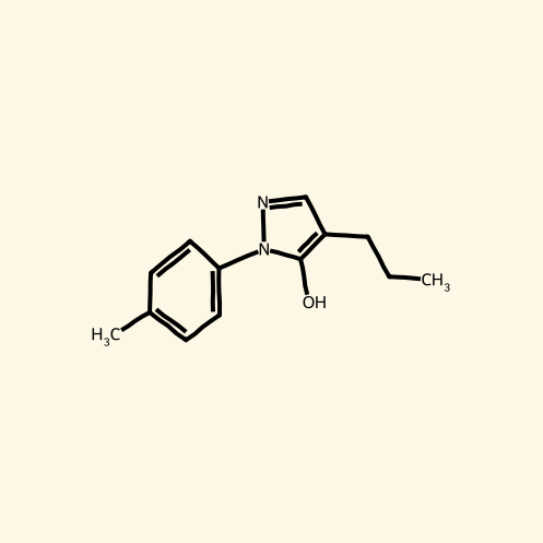 CCCc1cnn(-c2ccc(C)cc2)c1O